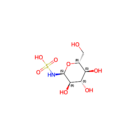 O=S(=O)(O)N[C@H]1O[C@H](CO)[C@@H](O)[C@H](O)[C@H]1O